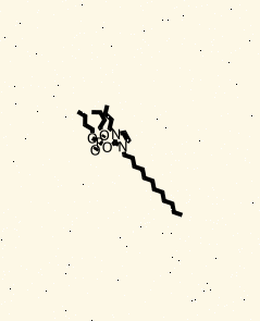 CCCCCCCCCCCCN1C=CN(CCCC)C1OP(=O)(OCCCC)OCCCC